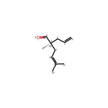 C=CC[C@](C)(C=O)CC=C(C)C